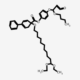 CCCCOC(C=C=O)Oc1ccc(OC(=O)C2(OCCCCCCCCCCC(OCC)OCC)C=CC(c3ccccc3)=CC2)cc1